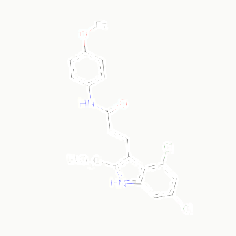 CCOC(=O)c1[nH]c2cc(Cl)cc(Cl)c2c1/C=C/C(=O)Nc1ccc(OCC)cc1